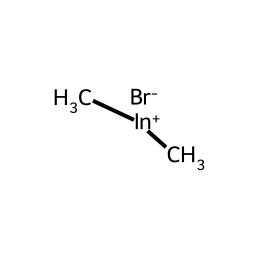 [Br-].[CH3][In+][CH3]